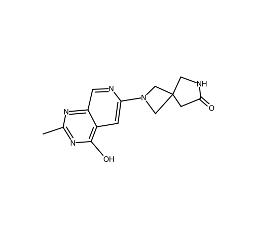 Cc1nc(O)c2cc(N3CC4(CNC(=O)C4)C3)ncc2n1